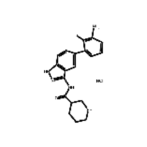 Cl.Nc1cccc(-c2ccc3[nH]nc(NC(=O)C4CCCNC4)c3c2)c1F